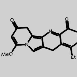 CCC1=C2Cc3cn4c(c3N=C2C(=O)CC1)CC(=O)C=C4OC